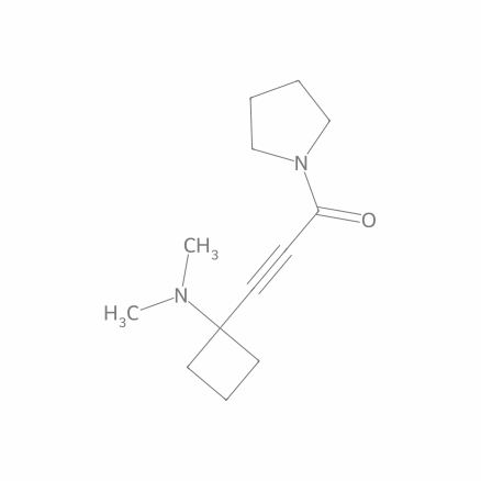 CN(C)C1(C#CC(=O)N2CCCC2)CCC1